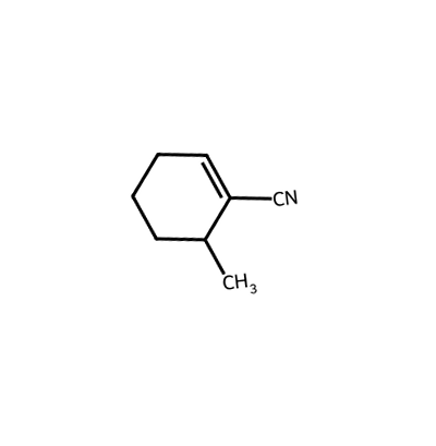 CC1CCCC=C1C#N